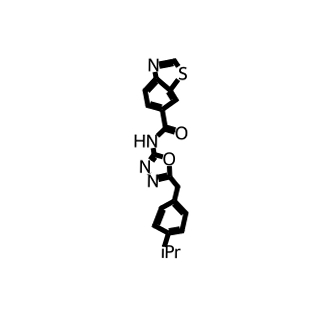 CC(C)c1ccc(Cc2nnc(NC(=O)c3ccc4ncsc4c3)o2)cc1